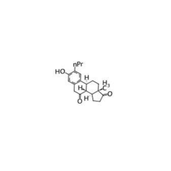 CCCc1cc2c(cc1O)CC(=O)[C@@H]1[C@@H]2CC[C@]2(C)C(=O)CC[C@@H]12